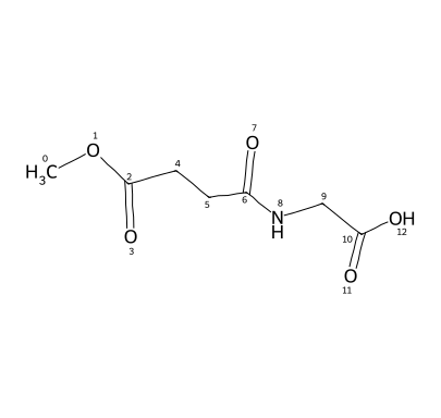 COC(=O)CCC(=O)NCC(=O)O